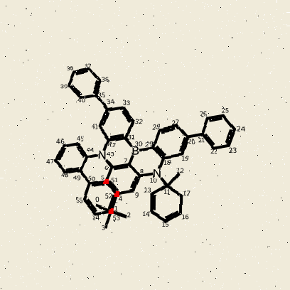 CC(C)(C)c1cc2c3c(c1)N(C1(C)C=CC=CC1)c1cc(-c4ccccc4)ccc1B3c1ccc(-c3ccccc3)cc1N2c1ccccc1-c1ccccc1